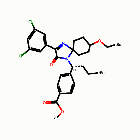 CC(C)OC(=O)c1ccc([C@@H](CCC(C)(C)C)N2C(=O)C(c3cc(Cl)cc(Cl)c3)=NC23CCC(OCC(C)(C)C)CC3)cc1